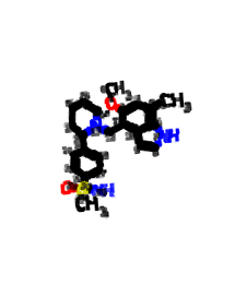 COc1cc(C)c2[nH]ccc2c1CN1CCCCC1c1ccc(S(C)(=N)=O)cc1